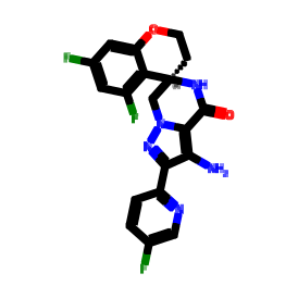 Nc1c(-c2ccc(F)cn2)nn2c1C(=O)N[C@@]1(CCOc3cc(F)cc(F)c31)C2